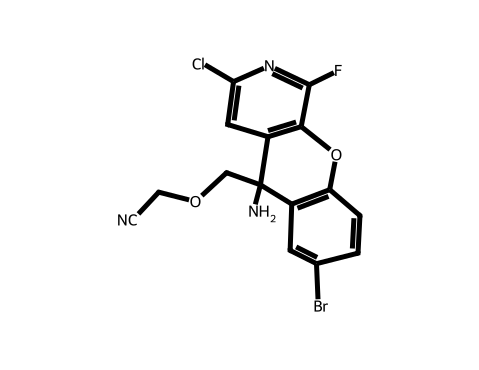 N#CCOCC1(N)c2cc(Br)ccc2Oc2c1cc(Cl)nc2F